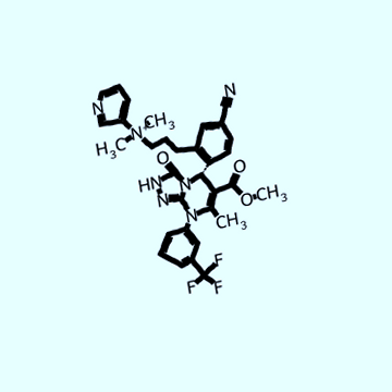 COC(=O)C1=C(C)N(c2cccc(C(F)(F)F)c2)c2n[nH]c(=O)n2[C@@H]1c1ccc(C#N)cc1CCC[N+](C)(C)c1cccnc1